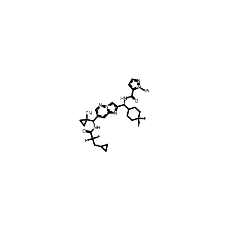 CC(C)n1nccc1C(=O)N[C@H](c1cn2ncc([C@@H](NC(=O)C(F)(F)CC3CC3)C3(C#N)CC3)cc2n1)C1CCC(F)(F)CC1